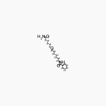 NC(=O)CCCCCOCCCCCCCNC(=O)C1CCCCC1